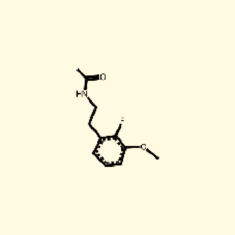 COc1cccc(CCNC(C)=O)c1F